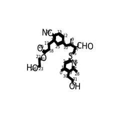 Cc1cc(SC[C@@H](C=O)[C@H](C)Cc2ccc(C#N)c(CCC(=O)OCCO)c2)nc(C)c1CCO